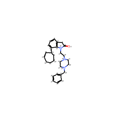 O=C1Cc2cccc(C3CCCCCC3)c2N1CCN1CCN(Cc2ccccc2)CC1